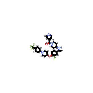 C=C(NC1CCN(C(=O)c2ccncc2)CC1)c1ccc(OC2CCN(c3ccc(C(F)(F)F)cc3)CC2)c(F)c1